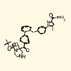 Cc1cc(C(N)=O)nn1-c1ccc(Cc2ccccc2-c2ccc(C(=O)C3(CO)CNCCN3C(=O)OC(C)(C)C)cc2)cc1